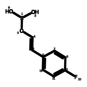 OB(O)OC=Cc1ccc(F)cc1